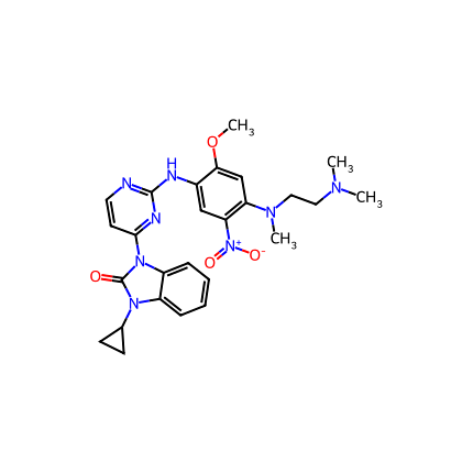 COc1cc(N(C)CCN(C)C)c([N+](=O)[O-])cc1Nc1nccc(-n2c(=O)n(C3CC3)c3ccccc32)n1